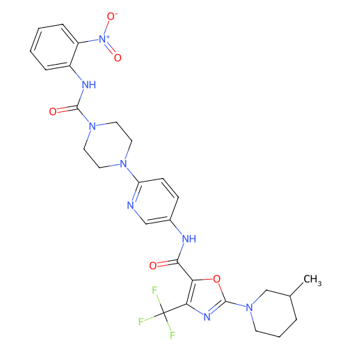 CC1CCCN(c2nc(C(F)(F)F)c(C(=O)Nc3ccc(N4CCN(C(=O)Nc5ccccc5[N+](=O)[O-])CC4)nc3)o2)C1